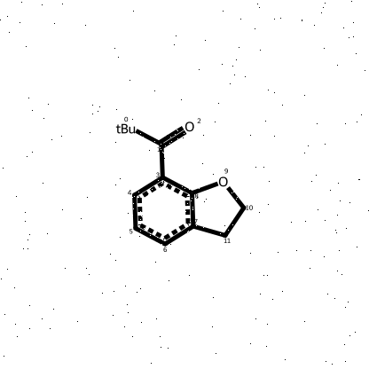 CC(C)(C)C(=O)c1cccc2c1OCC2